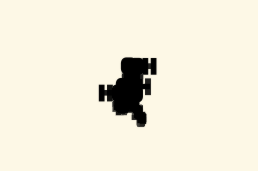 CCCCCCn1c(=O)c(C(=O)Nc2ccc(C(=O)O)cc2)c(O)c2ccccc21